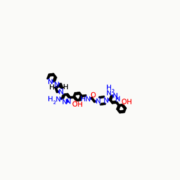 Nc1nnc(-c2ccccc2O)cc1N1CCN(CC(=O)NCc2ccc(-c3cc(N4C[C@H]5C[C@@H]4CN5c4ccccn4)c(N)nn3)c(O)c2)CC1